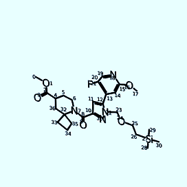 COC(=O)C1CCN(C(=O)c2cc(-c3cc(OC)ncc3F)n(COCC[Si](C)(C)C)n2)C2(CCC2)C1